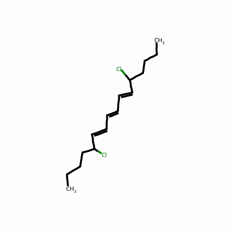 CCCCC(Cl)C=CC=CC=CC(Cl)CCCC